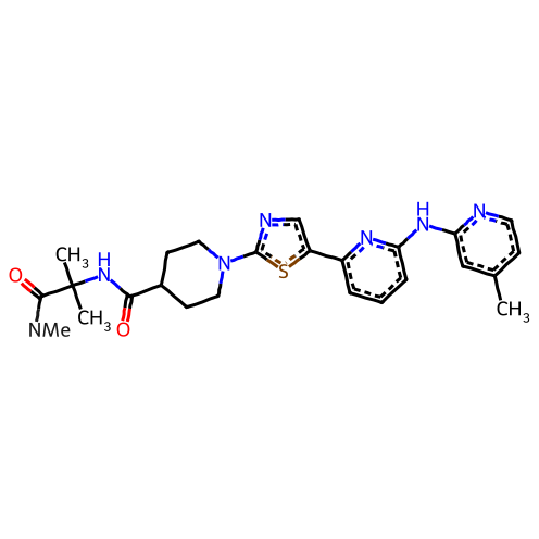 CNC(=O)C(C)(C)NC(=O)C1CCN(c2ncc(-c3cccc(Nc4cc(C)ccn4)n3)s2)CC1